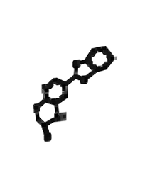 O=C1CSc2ncc(C3Oc4c[c]ccc4O3)cc2N1